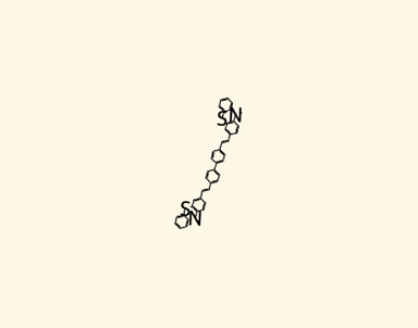 CN1c2ccccc2Sc2cc(C=Cc3ccc(-c4ccc(C=Cc5ccc6c(c5)Sc5ccccc5N6C)cc4)cc3)ccc21